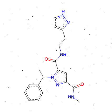 CNC(=O)c1cc(C(=O)NCCc2cc[nH]n2)n(C(C)c2ccccc2)n1